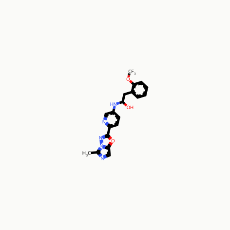 Cc1ncc2oc(-c3ccc(NC(O)Cc4ccccc4OC(F)(F)F)cn3)nn12